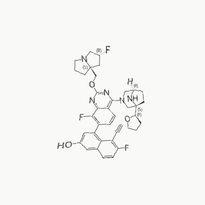 C#Cc1c(F)ccc2cc(O)cc(-c3ccc4c(N5C[C@H]6CC[C@@]([C@H]7CCCO7)(C5)N6)nc(OC[C@@]56CCCN5C[C@H](F)C6)nc4c3F)c12